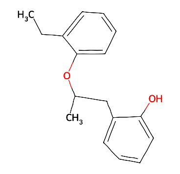 CCc1ccccc1OC(C)Cc1ccccc1O